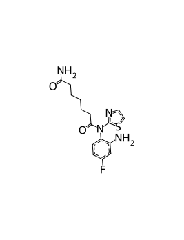 NC(=O)CCCCCC(=O)N(c1nccs1)c1ccc(F)cc1N